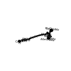 CC[C@H](C(=O)N1CCCC[C@H]1C(=O)O[C@@H](CCc1ccc(OC)c(OC)c1)c1cccc(OCC(=O)NCCOCCOCCOCCOCCOCCOCCC(=O)NCCCC(=O)NC2=NN(c3ccc(Cl)c(Cl)c3)CC2C)c1)c1cc(OC)c(OC)c(OC)c1